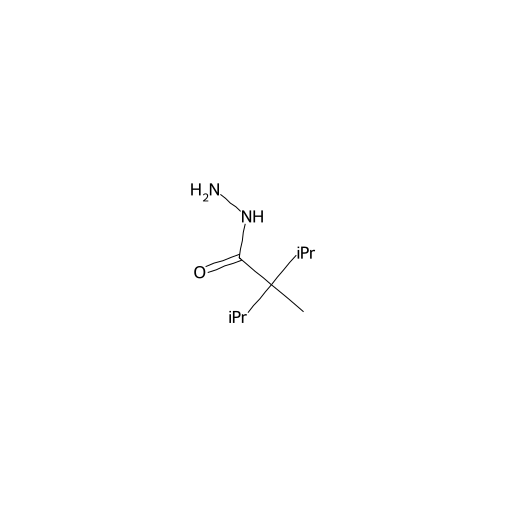 CC(C)C(C)(C(=O)NN)C(C)C